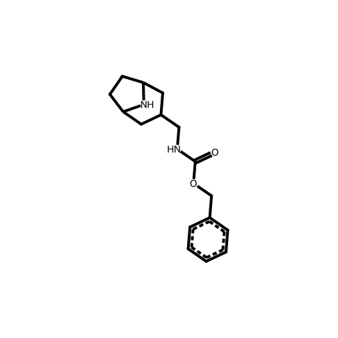 O=C(NCC1CC2CCC(C1)N2)OCc1ccccc1